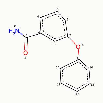 NC(=O)c1cccc(Oc2ccccc2)c1